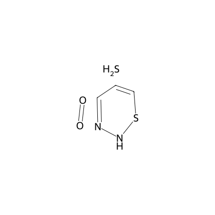 C1=CSNN=C1.O=O.S